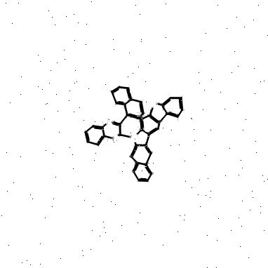 c1ccc2cc3c(cc2c1)c1cc2c(cc1n3-c1nc3ccccc3nc1-c1cccc3ccccc13)sc1ccccc12